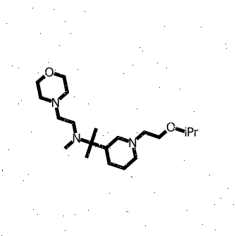 CC(C)OCCN1CCCC(C(C)(C)N(C)CCN2CCOCC2)C1